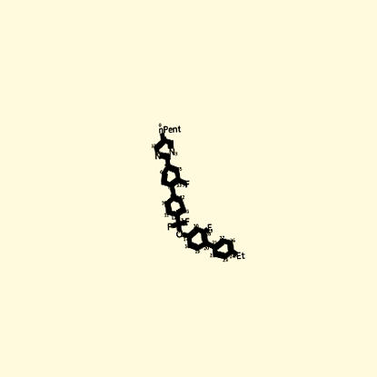 CCCCCc1cnc(-c2ccc(-c3ccc(C(F)(F)Oc4ccc(-c5ccc(CC)cc5)c(F)c4)cc3)c(F)c2)nc1